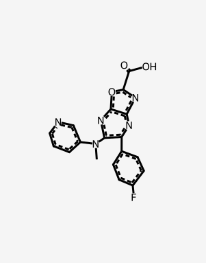 CN(c1cccnc1)c1nc2oc(C(=O)O)nc2nc1-c1ccc(F)cc1